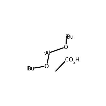 CC(=O)O.CCC(C)[O][Al][O]C(C)CC